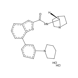 Cl.Cl.O=C(N[C@H]1CN2CCC1CC2)c1cc2cccc(-c3cccc(N4CCCCC4)c3)c2o1